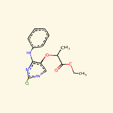 CCOC(=O)C(C)Oc1cnc(Cl)nc1Nc1ccccc1